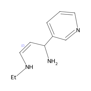 CCN/C=C\C(N)c1cccnc1